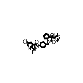 O=C(NC1CCC(CN2C(=O)C(O)(c3cscn3)c3ccccc32)CC1)c1cc(Cl)cnc1C(F)F